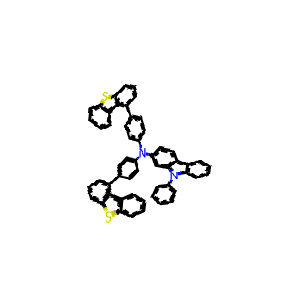 C1=C=C(N(c2ccc(-c3cccc4sc5ccccc5c34)cc2)c2ccc3c4ccccc4n(-c4ccccc4)c3c2)C=CC=1c1cccc2sc3ccccc3c12